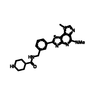 CNc1nc2nc(-c3cccc(CNC(=O)C4CCNCC4)c3)sc2c2c1ncn2C